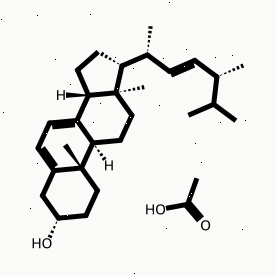 CC(=O)O.CC(C)[C@@H](C)C=C[C@@H](C)[C@H]1CC[C@H]2C3=CC=C4C[C@@H](O)CC[C@@]4(C)[C@@H]3CC[C@]12C